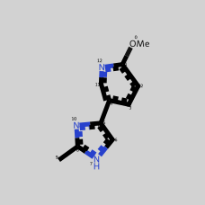 COc1ccc(-c2c[nH]c(C)n2)cn1